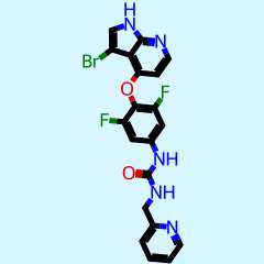 O=C(NCc1ccccn1)Nc1cc(F)c(Oc2ccnc3[nH]cc(Br)c23)c(F)c1